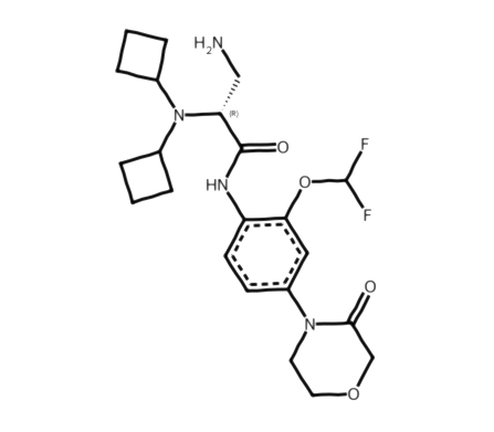 NC[C@H](C(=O)Nc1ccc(N2CCOCC2=O)cc1OC(F)F)N(C1CCC1)C1CCC1